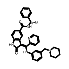 CC[C@@H](NC(=O)c1ccc2c(c1)/C(=C(/Nc1cccc(CN3CCCCC3)c1)c1ccccn1)C(=O)N2)c1ccccc1